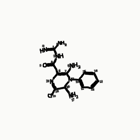 N=C(N)NC(=O)C1=C(N)N(c2ccccc2)C(N)C(Cl)=N1